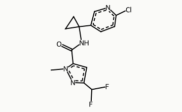 Cn1nc(C(F)F)cc1C(=O)NC1(c2ccc(Cl)nc2)CC1